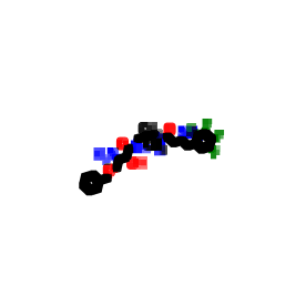 CC(C)(CNC(=O)CC(N)Cc1cc(F)c(F)c(F)c1F)CNC(=O)C(O)C(N)COCc1ccccc1